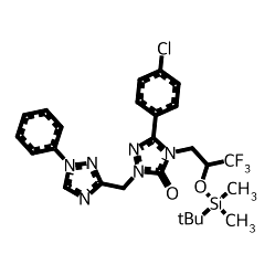 CC(C)(C)[Si](C)(C)OC(Cn1c(-c2ccc(Cl)cc2)nn(Cc2ncn(-c3ccccc3)n2)c1=O)C(F)(F)F